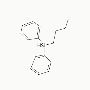 ICCC[SiH](c1ccccc1)c1ccccc1